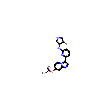 C[C@@H](Oc1ccn2c(-c3cccc(N[C@@H]4CNC[C@H]4F)n3)cnc2c1)C(F)(F)F